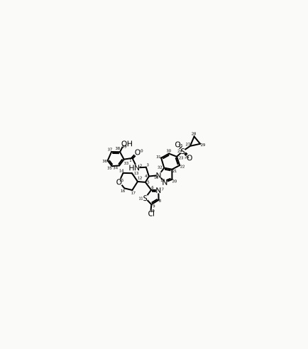 O=C(NCC(C(c1ncc(Cl)s1)C1CCOCC1)n1ncc2cc(S(=O)(=O)C3CC3)ccc21)c1ccccc1O